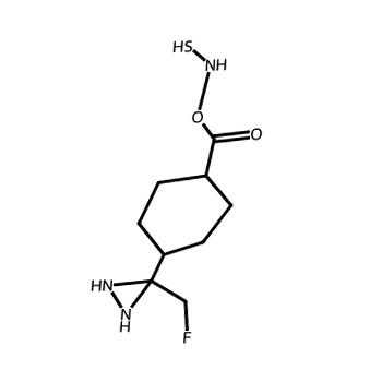 O=C(ONS)C1CCC(C2(CF)NN2)CC1